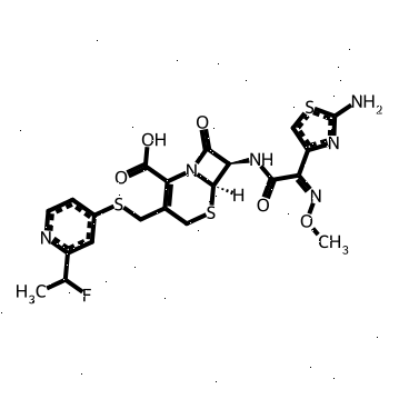 CO/N=C(\C(=O)N[C@@H]1C(=O)N2C(C(=O)O)=C(CSc3ccnc(C(C)F)c3)CS[C@H]12)c1csc(N)n1